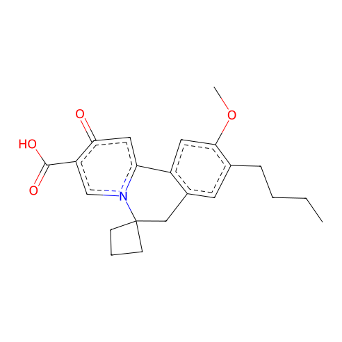 CCCCc1cc2c(cc1OC)-c1cc(=O)c(C(=O)O)cn1C1(CCC1)C2